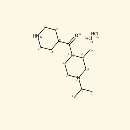 CC(C)N1CCN(C(=O)C2CCNCC2)C(C)C1.Cl.Cl